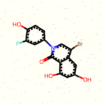 O=c1c2c(O)cc(O)cc2c(Br)cn1-c1ccc(O)c(F)c1